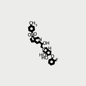 Cc1ccc(S(=O)(=O)n2ccc3cc(C(O)CN4C[C@H]5C[C@H](Oc6ccccc6F)[C@H](O)[C@@]5(O)C4)ncc32)cc1